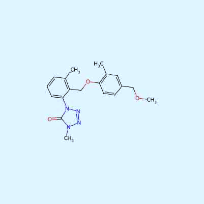 COCc1ccc(OCc2c(C)cccc2-n2nnn(C)c2=O)c(C)c1